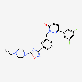 CCN1CCN(c2nc(-c3cccc(Cn4nc(-c5cc(F)cc(F)c5)ccc4=O)c3)no2)CC1